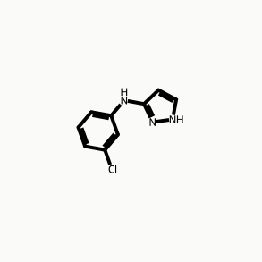 Clc1cccc(Nc2cc[nH]n2)c1